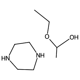 C1CNCCN1.CCOC(C)O